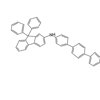 c1ccc(-c2ccc(-c3ccc(Nc4ccc5c(c4)C(c4ccccc4)(c4ccccc4)c4ccccc4-5)cc3)cc2)cc1